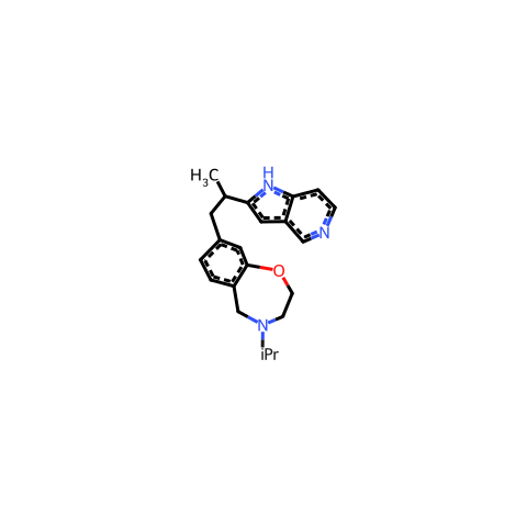 CC(Cc1ccc2c(c1)OCCN(C(C)C)C2)c1cc2cnccc2[nH]1